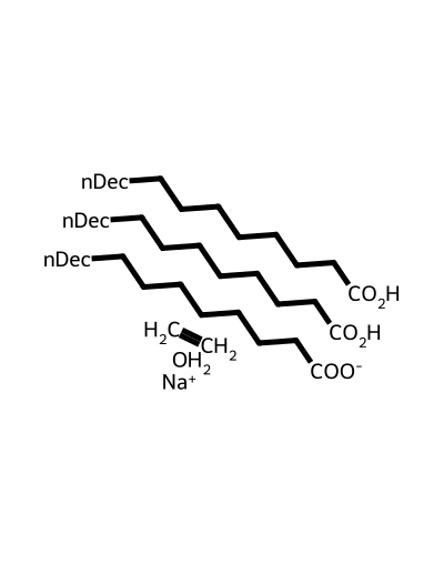 C=C.CCCCCCCCCCCCCCCCCC(=O)O.CCCCCCCCCCCCCCCCCC(=O)O.CCCCCCCCCCCCCCCCCC(=O)[O-].O.[Na+]